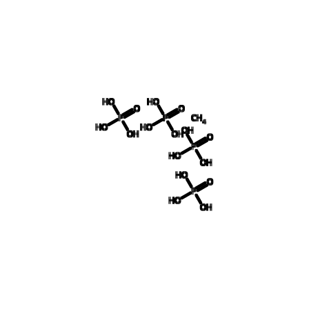 C.O=P(O)(O)O.O=P(O)(O)O.O=P(O)(O)O.O=P(O)(O)O